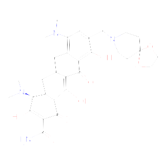 CN(C)c1cc(CN2CCC3(CC2)OCCO3)c(O)c2c1CC1CC3C(C(=O)C(C(N)=O)=C(O)[C@H]3N(C)C)C(O)=C1C2=O